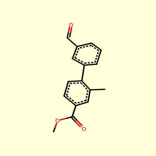 COC(=O)c1ccc(-c2cccc(C=O)c2)c(C)c1